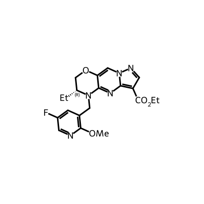 CCOC(=O)c1cnn2cc3c(nc12)N(Cc1cc(F)cnc1OC)[C@H](CC)CO3